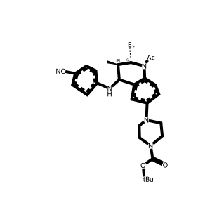 CC[C@H]1[C@H](C)C(Nc2ccc(C#N)cc2)c2cc(N3CCN(C(=O)OC(C)(C)C)CC3)ccc2N1C(C)=O